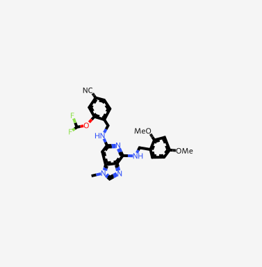 COc1ccc(CNc2nc(NCc3ccc(C#N)cc3OC(F)F)cc3c2ncn3C)c(OC)c1